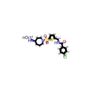 CCCCCCCCNC1CCCN(S(=O)(=O)c2ccc(CNC(=O)c3ccc(Cl)cc3)s2)CC1